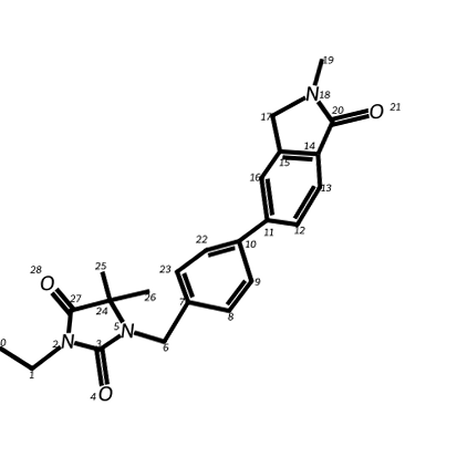 CCN1C(=O)N(Cc2ccc(-c3ccc4c(c3)CN(C)C4=O)cc2)C(C)(C)C1=O